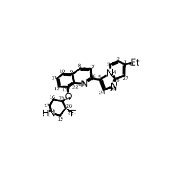 CCc1ccn2c(-c3ccc4cccc(OC5CCNC[C@@H]5F)c4n3)cnc2c1